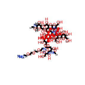 CC(=O)NC1C(O)[C@H](O[C@@H]2OC(CO[C@]3(C(=O)NCCOCCOCCOCCN=[N+]=[N-])CC(O)[C@@H](NC(C)=O)C([C@H](O)[C@H](O)CO)O3)[C@H](O)C(O)C2O)C(CO)O[C@H]1OC1C(O)[C@H](O)C(CO)O[C@@H]1OC1C(O)[C@H](O[C@@H]2C(CO)O[C@H]3OC(C)=N[C@H]3C2O)OC(CO[C@H]2OC(CO)[C@@H](O)C(O)C2O[C@@H]2OC(CO)[C@@H](O[C@@H]3OC(CO)[C@H](O)C(O)C3O)C(O)C2NC(C)=O)[C@H]1O